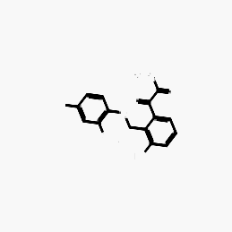 CCc1ccc(OCc2c(CC)cccc2C(=O)C(=O)NC)c(C)c1